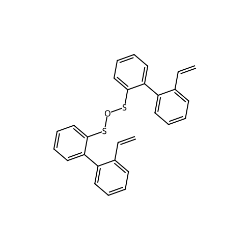 C=Cc1ccccc1-c1ccccc1SOSc1ccccc1-c1ccccc1C=C